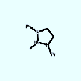 CC(C)N1CCN(C(C)C)[SH]1C